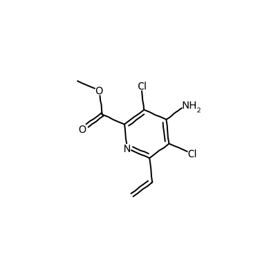 C=Cc1nc(C(=O)OC)c(Cl)c(N)c1Cl